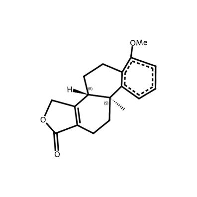 COc1cccc2c1CC[C@H]1C3=C(CC[C@]21C)C(=O)OC3